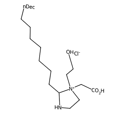 CCCCCCCCCCCCCCCCCC1NCC[N+]1(CCO)CC(=O)O.[Cl-]